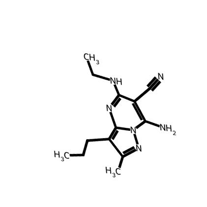 CCCc1c(C)nn2c(N)c(C#N)c(NCC)nc12